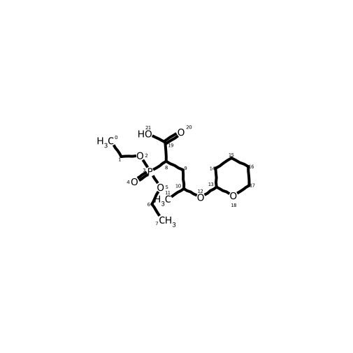 CCOP(=O)(OCC)C(CC(C)OC1CCCCO1)C(=O)O